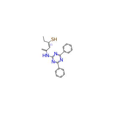 C=C(/C=C(/S)CC)Nc1nc(-c2ccccc2)nc(-c2ccccc2)n1